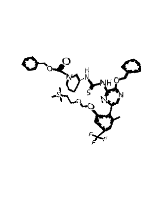 Cc1cc(C(F)(F)F)cc(OCOCC[Si](C)(C)C)c1-c1cnc(OCc2ccccc2)c(NC(=S)N[C@@H]2CCCN(C(=O)OCc3ccccc3)C2)n1